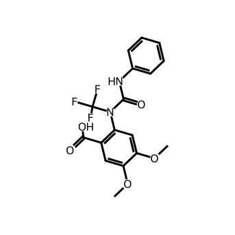 COc1cc(C(=O)O)c(N(C(=O)Nc2ccccc2)C(F)(F)F)cc1OC